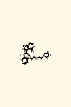 O=C(Nc1cnccc1OCCOCCN1CCCC1)c1c[nH]c2c1C(=O)CCC2